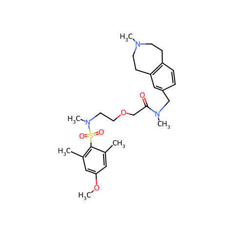 COc1cc(C)c(S(=O)(=O)N(C)CCOCC(=O)N(C)Cc2ccc3c(c2)CCN(C)CC3)c(C)c1